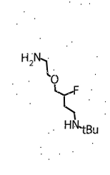 CC(C)(C)NCCC(F)COCCN